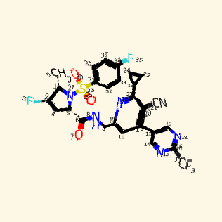 C[C@H]1[C@H](F)C[C@@H](C(=O)NCc2cc(-c3cnc(C(F)(F)F)nc3)c(C#N)c(C3CC3)n2)N1S(=O)(=O)c1ccc(F)cc1